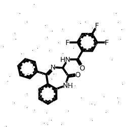 O=C(NC1N=C(c2ccccc2)c2ccccc2NC1=O)c1cc(F)c(F)cc1F